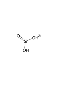 O=[Si](O)O.[Zr]